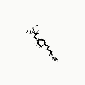 CC(C)NC(=O)CN1CCN(CCCOC(C)C)CC1